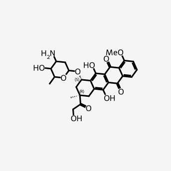 COc1cccc2c1C(=O)c1c(O)c3c(c(O)c1C2=O)C[C@@](C)(C(=O)CO)C[C@@H]3OC1CC(N)C(O)C(C)O1